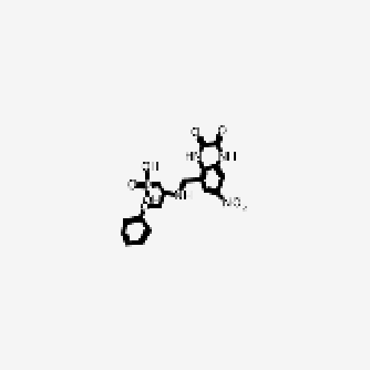 O=c1[nH]c2cc([N+](=O)[O-])cc(CNC(COc3ccccc3)CP(=O)(O)O)c2[nH]c1=O